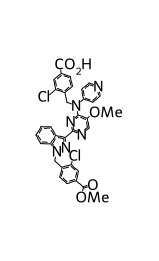 COC(=O)c1ccc(Cn2nc(-c3ncc(OC)c(N(Cc4ccc(C(=O)O)cc4Cl)c4ccncc4)n3)c3ccccc32)c(Cl)c1